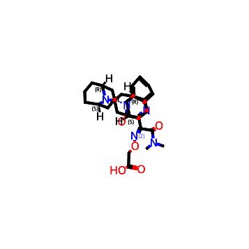 CN(C)C(=O)/C(=N\OCC(=O)O)c1nc2ccccc2n([C@H]2C[C@H]3CCC[C@@H](C2)N3C2C[C@H]3CCC[C@@H](C2)C3)c1=O